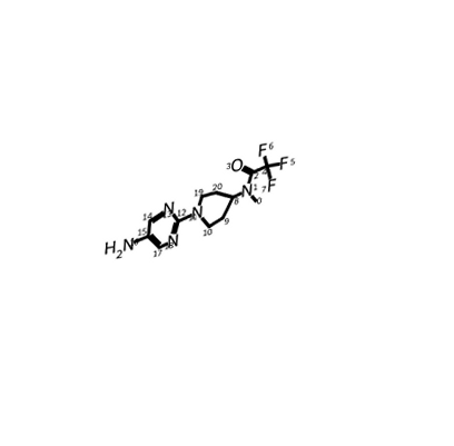 CN(C(=O)C(F)(F)F)C1CCN(c2ncc(N)cn2)CC1